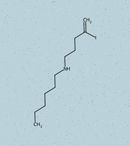 C=C(I)CCCNCCCCCC